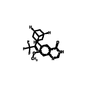 COc1cc2nc[nH]c(=O)c2cc1N[C@@H]1[C@@H]2C[C@H]1CN(C(=O)C(F)(F)F)C2